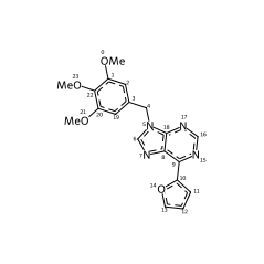 COc1cc(Cn2cnc3c(-c4ccco4)ncnc32)cc(OC)c1OC